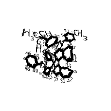 Cc1ccc(N(c2ccc(C(C)(C)C)cc2)c2cc3c(c4ccccc24)-c2c(ccc4ccccc24)C32c3ccccc3N(c3ccccc3)c3ccccc32)cc1